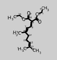 CCOC(=O)C(=CC=C(C)CCC=C(C)C)C(=O)OCC